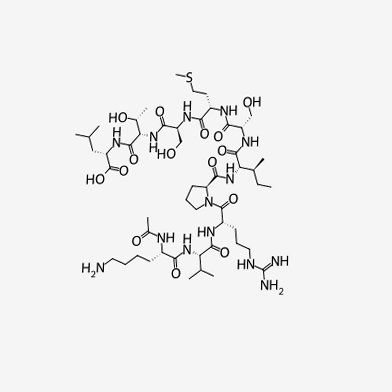 CC[C@H](C)[C@H](NC(=O)[C@@H]1CCCN1C(=O)[C@H](CCCNC(=N)N)NC(=O)[C@@H](NC(=O)[C@H](CCCCN)NC(C)=O)C(C)C)C(=O)N[C@@H](CO)C(=O)N[C@@H](CCSC)C(=O)N[C@@H](CO)C(=O)N[C@H](C(=O)N[C@@H](CC(C)C)C(=O)O)[C@@H](C)O